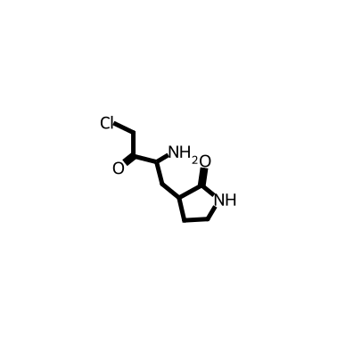 NC(CC1CCNC1=O)C(=O)CCl